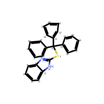 c1ccc(C(Sc2nc3ccccc3[nH]2)(c2ccccc2)c2ccccc2)cc1